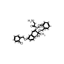 CN(C(=O)CN)C1=Cc2cc(OCc3ccccc3Cl)ccc2NC1(C)OCc1ccccc1Cl